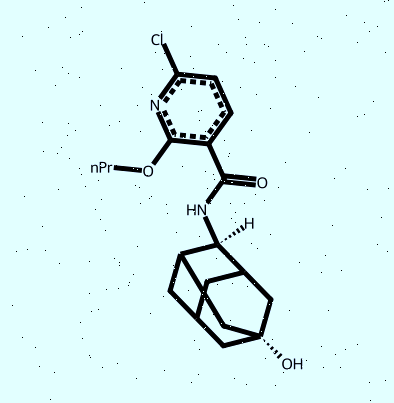 CCCOc1nc(Cl)ccc1C(=O)N[C@H]1C2CC3CC1C[C@](O)(C3)C2